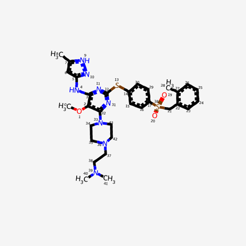 COc1c(Nc2cc(C)[nH]n2)nc(Sc2ccc(S(=O)(=O)Cc3ccccc3C)cc2)nc1N1CCN(CCN(C)C)CC1